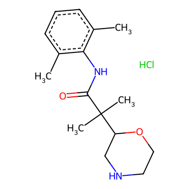 Cc1cccc(C)c1NC(=O)C(C)(C)C1CNCCO1.Cl